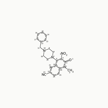 Cn1c(=O)c([N+](=O)[O-])c(N2CCN(Cc3ccccc3)CC2)c2nc(C#N)ccc21